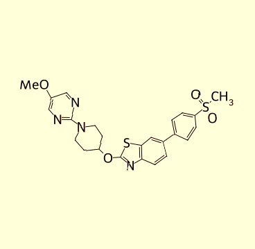 COc1cnc(N2CCC(Oc3nc4ccc(-c5ccc(S(C)(=O)=O)cc5)cc4s3)CC2)nc1